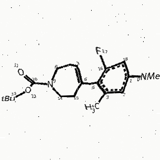 CNc1cc(C)c(C2=CCN(C(=O)OC(C)(C)C)CC2)c(F)c1